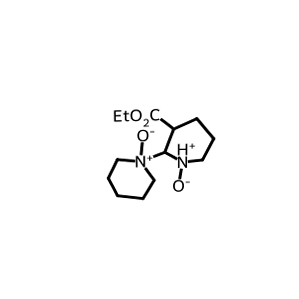 CCOC(=O)C1CCC[NH+]([O-])C1[N+]1([O-])CCCCC1